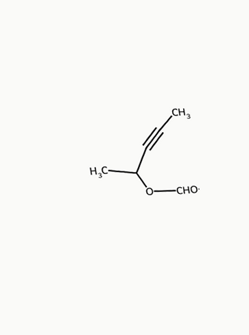 CC#CC(C)O[C]=O